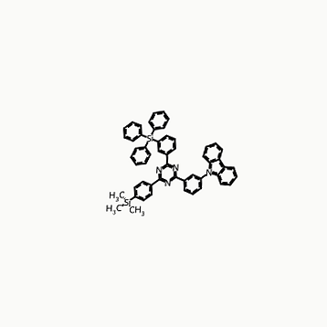 C[Si](C)(C)c1ccc(-c2nc(-c3cccc(-n4c5ccccc5c5ccccc54)c3)nc(-c3cccc([Si](c4ccccc4)(c4ccccc4)c4ccccc4)c3)n2)cc1